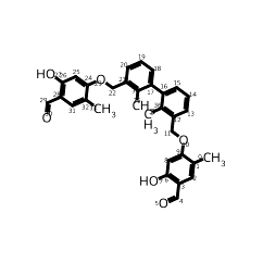 Cc1cc(C=O)c(O)cc1OCc1cccc(-c2cccc(COc3cc(O)c(C=O)cc3C)c2C)c1C